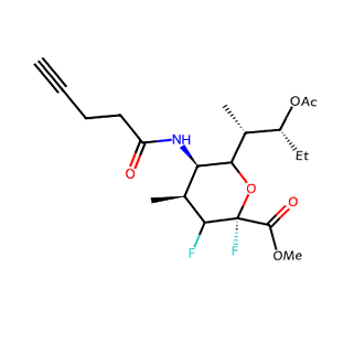 C#CCCC(=O)N[C@H]1C([C@H](C)[C@@H](CC)OC(C)=O)O[C@@](F)(C(=O)OC)C(F)[C@H]1C